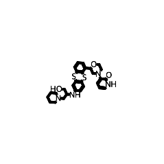 O=c1[nH]cccc1N1CCOC(c2cccc3c2Sc2ccc(NC(CO)CN4CCCCC4)cc2S3)C1